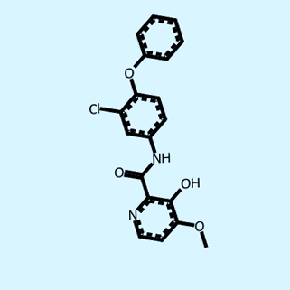 COc1ccnc(C(=O)Nc2ccc(Oc3ccccc3)c(Cl)c2)c1O